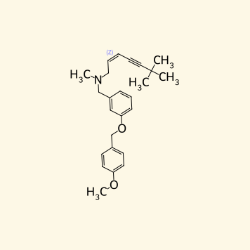 COc1ccc(COc2cccc(CN(C)C/C=C\C#CC(C)(C)C)c2)cc1